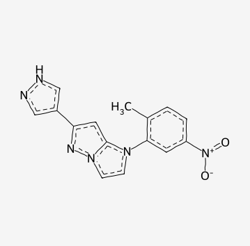 Cc1ccc([N+](=O)[O-])cc1-n1ccn2nc(-c3cn[nH]c3)cc12